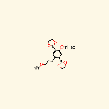 CCCCCCOc1cc(B2OCCO2)c(CCCOCCC)cc1B1OCCO1